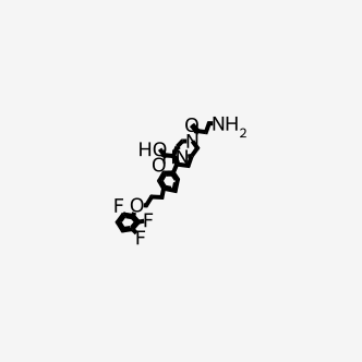 NCCC(=O)N1CC2CC(c3ccc(CCCOc4c(F)ccc(F)c4F)cc3)=C(C(=O)O)C(C1)N2